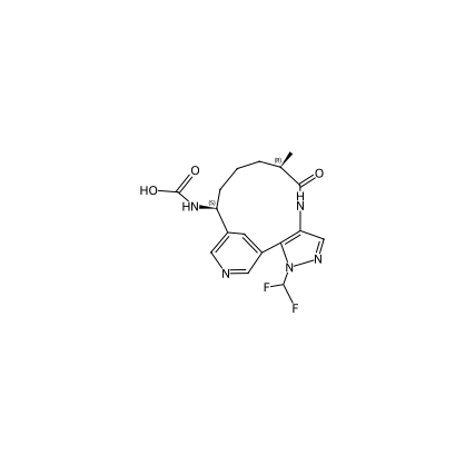 C[C@@H]1CCC[C@H](NC(=O)O)c2cncc(c2)-c2c(cnn2C(F)F)NC1=O